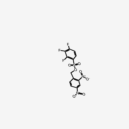 O=[N+]([O-])c1ccc(COS(=O)(=O)c2ccc(F)c(F)c2F)c([N+](=O)[O-])c1